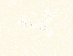 CC(C)(C)N(CC(=O)Nc1cc(CO)ccc1OCc1ccc([N+](=O)[O-])cc1)C(=O)O